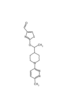 Cc1ccc(N2CCC(C(C)Oc3nc(C=O)cs3)CC2)nn1